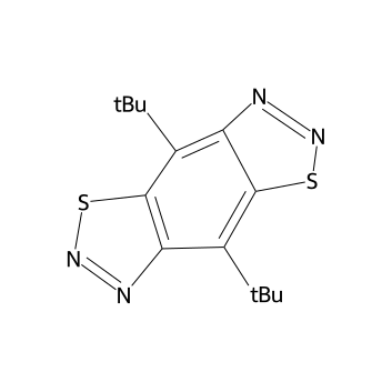 CC(C)(C)c1c2nnsc2c(C(C)(C)C)c2nnsc12